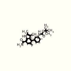 Cc1[nH]c2c(C(N)=O)cc(F)c(C3=CCC[C@H](NC(=O)OC(C)(C)C)C3)c2c1C